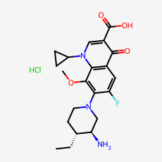 CC[C@@H]1CCN(c2c(F)cc3c(=O)c(C(=O)O)cn(C4CC4)c3c2OC)C[C@H]1N.Cl